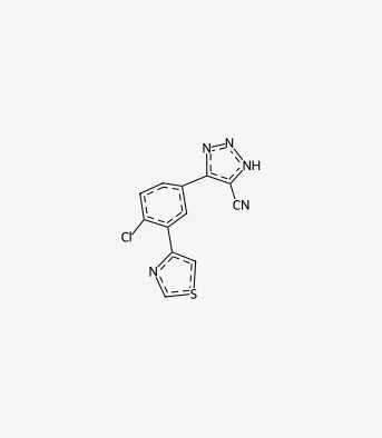 N#Cc1[nH]nnc1-c1ccc(Cl)c(-c2cscn2)c1